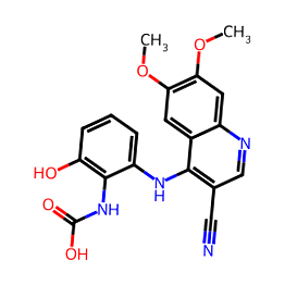 COc1cc2ncc(C#N)c(Nc3cccc(O)c3NC(=O)O)c2cc1OC